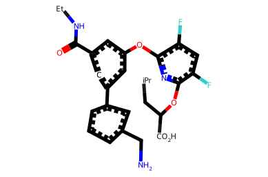 CCNC(=O)c1cc(Oc2nc(OC(CC(C)C)C(=O)O)c(F)cc2F)cc(-c2cccc(CN)c2)c1